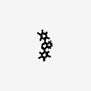 Cc1c(C)c(C)c(-c2ccc(-c3c(C)c(C)c(C)c(C)c3C)c3nsnc23)c(C)c1C